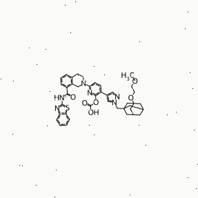 COCCOC12CC3CC(CC(Cn4cc(-c5ccc(N6CCc7cccc(C(=O)Nc8nc9ccccc9s8)c7C6)nc5OC(=O)O)cn4)(C3)C1)C2